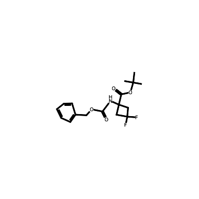 CC(C)(C)OC(=O)C1(NC(=O)OCc2ccccc2)CC(F)(F)C1